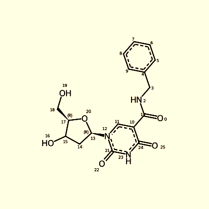 O=C(NCc1ccccc1)c1cn([C@H]2CC(O)[C@@H](CO)O2)c(=O)[nH]c1=O